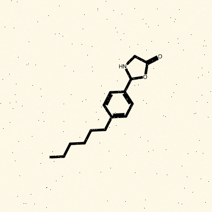 CCCCCCc1ccc(C2NCC(=O)O2)cc1